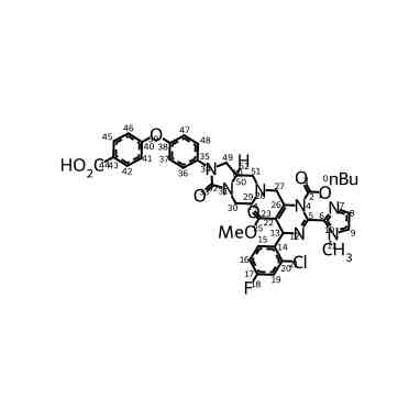 CCCCOC(=O)N1C(c2nccn2C)=NC(c2ccc(F)cc2Cl)C(C(=O)OC)=C1CN1CCN2C(=O)N(c3ccc(Oc4ccc(C(=O)O)cc4)cc3)C[C@@H]2C1